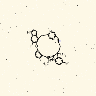 Cn1nc2nc1-c1cc(ccc1F)Oc1c(F)cc3[nH]ccc3c1Cc1cnc(cn1)/C=C/CCC2(C)c1cccc(Br)c1